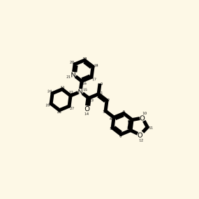 C/C(=C/Cc1ccc2c(c1)OCO2)C(=O)N(c1ccccn1)C1CCCCC1